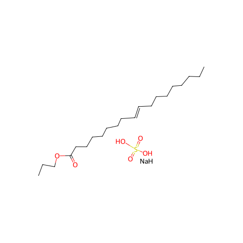 CCCCCCCCC=CCCCCCCCC(=O)OCCC.O=S(=O)(O)O.[NaH]